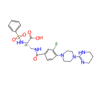 O=C(NC[C@H](NS(=O)(=O)c1ccccc1)C(=O)O)c1ccc(N2CCN(C3=NCCCN3)CC2)c(F)c1